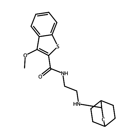 COc1c(C(=O)NCCNC2CC3CCC2CC3)sc2ccccc12